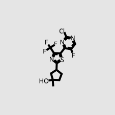 CC1(O)CCC(c2nc(C(F)(F)F)c(-c3nc(Cl)ncc3F)s2)C1